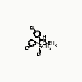 CC(C)NC(c1ccc(Cl)cc1)C(SCC=O)c1cccc(Cl)c1